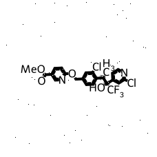 COC(=O)c1ccc(OCc2ccc([C@@H](C)[C@@](O)(c3ccnc(Cl)c3)C(F)(F)F)c(Cl)c2)nc1